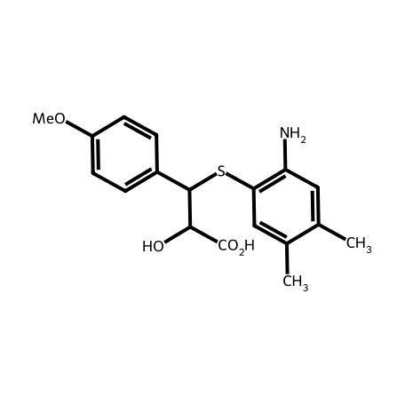 COc1ccc(C(Sc2cc(C)c(C)cc2N)C(O)C(=O)O)cc1